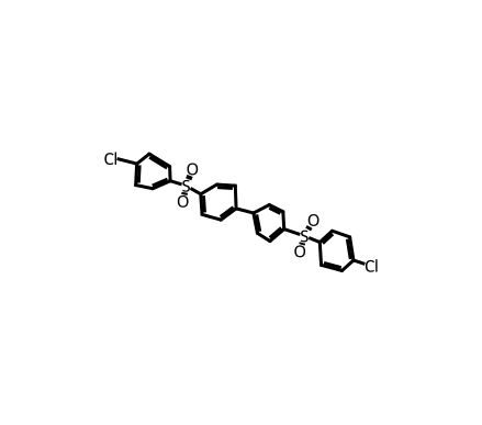 O=S(=O)(c1ccc(Cl)cc1)c1ccc(-c2ccc(S(=O)(=O)c3ccc(Cl)cc3)cc2)cc1